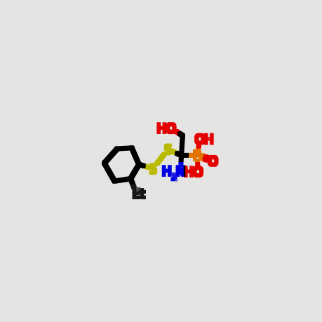 CCC1CCCCC1SSC(N)(CO)P(=O)(O)O